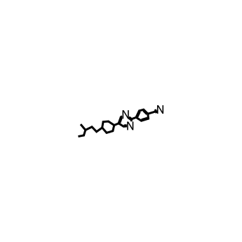 CCC(C)CCC1CCC(c2cnc(-c3ccc(C#N)cc3)nc2)CC1